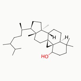 CC(C)C(C)CC[C@@H](C)[C@H]1CC[C@@]2(C)[C@@H]3CC[C@H]4C(C)(C)CCC(O)[C@@]45C[C@@]35CC[C@]12C